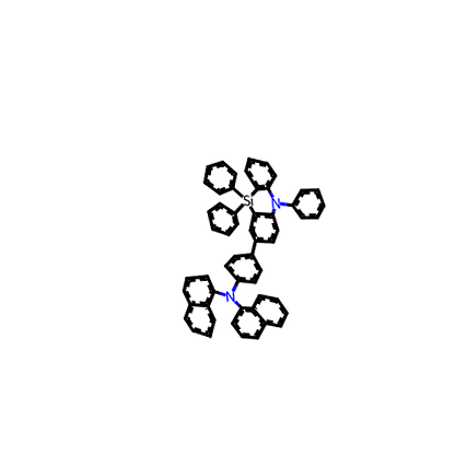 c1ccc(N2c3ccccc3[Si](c3ccccc3)(c3ccccc3)c3cc(-c4ccc(N(c5cccc6ccccc56)c5cccc6ccccc56)cc4)ccc32)cc1